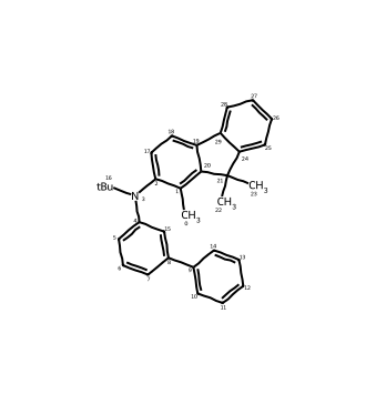 Cc1c(N(c2cccc(-c3ccccc3)c2)C(C)(C)C)ccc2c1C(C)(C)c1ccccc1-2